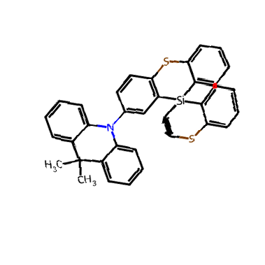 CC1(C)c2ccccc2N(c2ccc3c(c2)[Si]2(c4ccccc4Sc4ccccc42)c2ccccc2S3)c2ccccc21